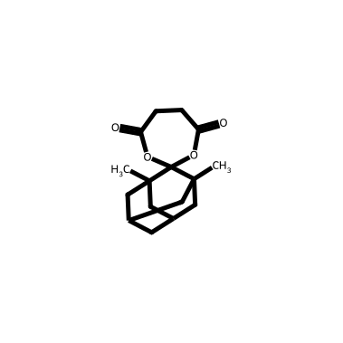 CC12CC3CC(C1)CC(C)(C3)C21OC(=O)CCC(=O)O1